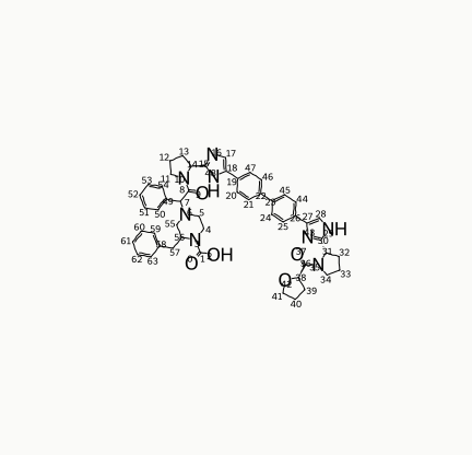 O=C(O)N1CCN(C(C(=O)N2CCC[C@H]2c2ncc(-c3ccc(-c4ccc(-c5c[nH]c([C@@H]6CCCN6C(=O)[C@H]6CCCO6)n5)cc4)cc3)[nH]2)c2ccccc2)CC1Cc1ccccc1